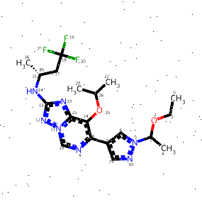 CCOC(C)n1cc(-c2ncn3nc(N[C@H](C)CC(F)(F)F)nc3c2OC(C)C)cn1